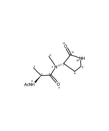 CC(=O)N[C@@H](C)C(=O)N(C)[C@H]1CCNC1=O